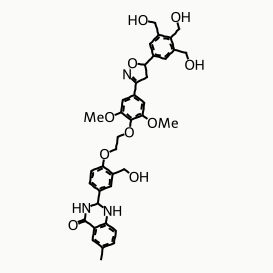 COc1cc(C2=NOC(c3cc(CO)c(CO)c(CO)c3)C2)cc(OC)c1OCCOc1ccc(C2NC(=O)c3cc(C)ccc3N2)cc1CO